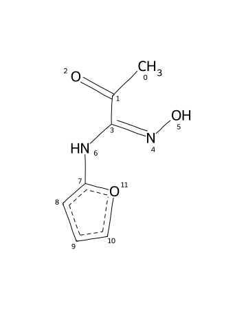 CC(=O)C(=NO)Nc1ccco1